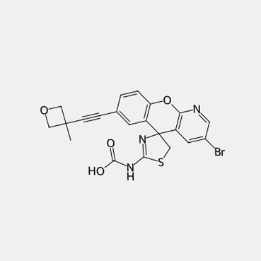 CC1(C#Cc2ccc3c(c2)C2(CSC(NC(=O)O)=N2)c2cc(Br)cnc2O3)COC1